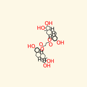 C[C@]12CC[C@@H]3c4c(cc(O)cc4OC(=O)CCC(=O)Oc4cc(O)cc5c4[C@H]4CC[C@]6(C)[C@@H](O)[C@H](O)C[C@H]6[C@@H]4CC5)CC[C@H]3[C@@H]1C[C@@H](O)[C@@H]2O